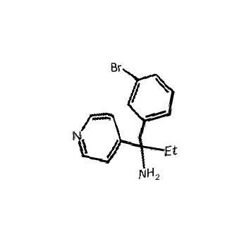 CCC(N)(c1ccncc1)c1cccc(Br)c1